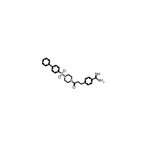 N=C(N)c1ccc(CCC(=O)N2CCN(S(=O)(=O)c3ccc(-c4ccccc4)cc3)CC2)cc1